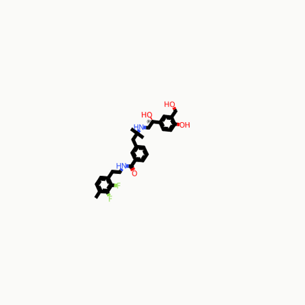 Cc1ccc(CCNC(=O)c2cccc(CC(C)(C)NC[C@H](O)c3ccc(O)c(CO)c3)c2)c(F)c1F